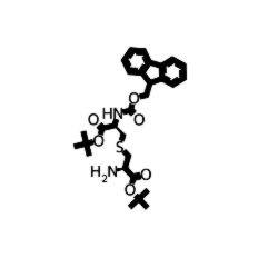 CC(C)(C)OC(=O)[C@H](CSC[C@H](N)C(=O)OC(C)(C)C)NC(=O)OCC1c2ccccc2-c2ccccc21